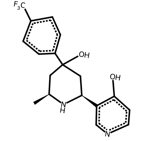 C[C@H]1CC(O)(c2ccc(C(F)(F)F)cc2)C[C@@H](c2cnccc2O)N1